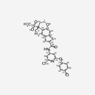 C[C@@]1(S(C)(=O)=O)CCOc2cc3sc(C(=O)Nc4cc(Cl)nc(Oc5ccc(Cl)cc5)c4)cc3cc21